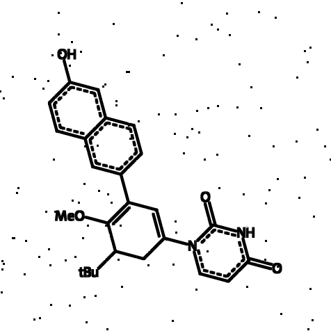 COC1=C(c2ccc3cc(O)ccc3c2)C=C(n2ccc(=O)[nH]c2=O)CC1C(C)(C)C